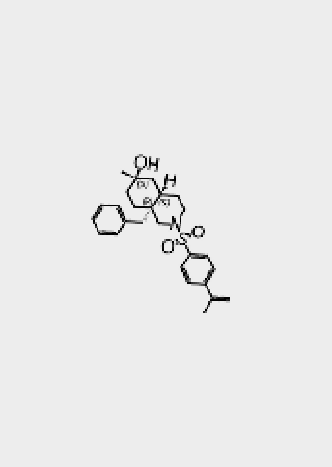 C=C(C)c1ccc(S(=O)(=O)N2CC[C@H]3C[C@@](C)(O)CC[C@]3(Cc3ccccc3)C2)cc1